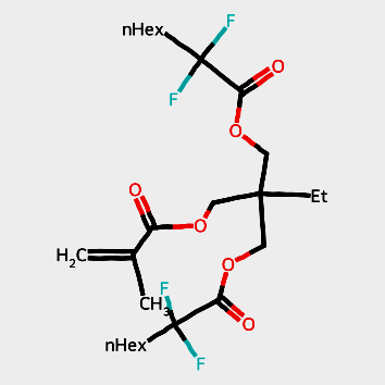 C=C(C)C(=O)OCC(CC)(COC(=O)C(F)(F)CCCCCC)COC(=O)C(F)(F)CCCCCC